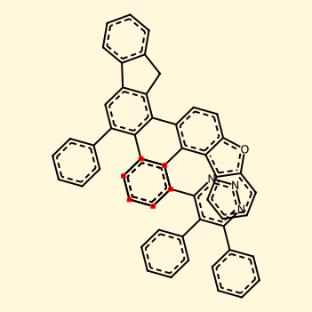 c1ccc(-c2cc3c(c(-c4ccc5oc6ccccc6c5c4-c4ccccc4-c4nnnc(-c5ccccc5)c4-c4ccccc4)c2-c2ccccc2)Cc2ccccc2-3)cc1